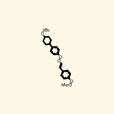 CCCCOC1CCC(c2ccc(OO/C=C/c3ccc(OOC)cc3)cc2)CC1